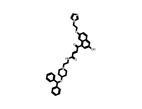 O=C(/C=C/C(=O)c1cc(O)cc2ccc(OCCn3ccnc3)cc12)NCCN1CCC(OC(c2ccccc2)c2ccccc2)CC1